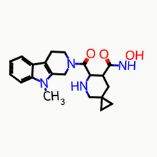 Cn1c2c(c3ccccc31)CCN(C(=O)C1NCC3(CC3)CC1C(=O)NO)C2